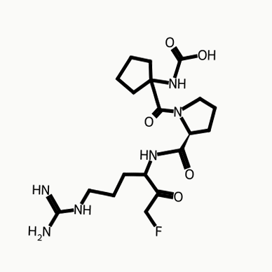 N=C(N)NCCCC(NC(=O)[C@@H]1CCCN1C(=O)C1(NC(=O)O)CCCC1)C(=O)CF